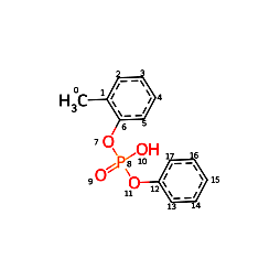 Cc1ccccc1OP(=O)(O)Oc1ccccc1